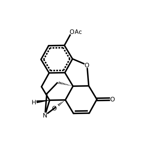 CC(=O)Oc1ccc2c3c1OC1C(=O)C=C[C@]45OCN(CC[C@]314)[C@@H]5C2